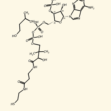 CC(C)(COP(=O)(O)OP(=O)(O)OC[C@H]1O[C@@H](n2cnc3c(N)ncnc32)[C@H](O)[C@@H]1OP(=O)(O)O)C(O)C(=O)NCCC(=O)NCCS.CC(O)CCO